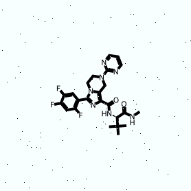 CNC(=O)[C@@H](NC(=O)c1nc(-c2cc(F)c(F)cc2F)n2c1CN(c1ncccn1)CC2)C(C)(C)C